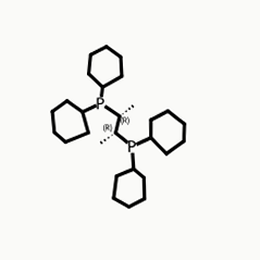 C[C@H]([C@@H](C)P(C1CCCCC1)C1CCCCC1)P(C1CCCCC1)C1CCCCC1